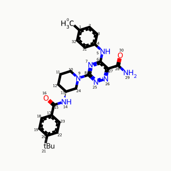 Cc1ccc(Nc2nc(N3CCC[C@@H](NC(=O)c4ccc(C(C)(C)C)cc4)C3)nnc2C(N)=O)cc1